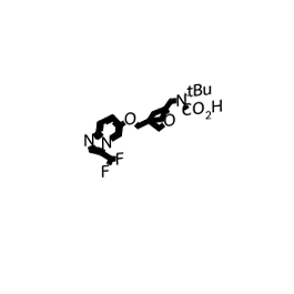 CC(C)(C)N(CC12CC(COc3ccc4ncc(C(F)F)n4c3)(CO1)C2)C(=O)O